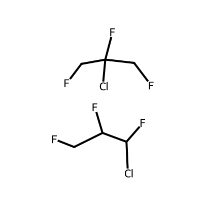 FCC(F)(Cl)CF.FCC(F)C(F)Cl